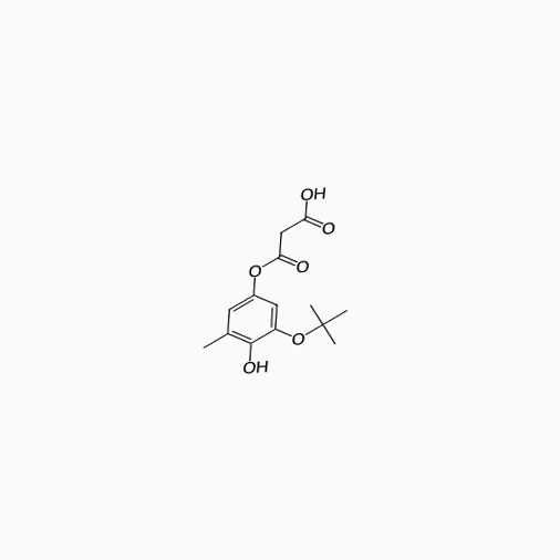 Cc1cc(OC(=O)CC(=O)O)cc(OC(C)(C)C)c1O